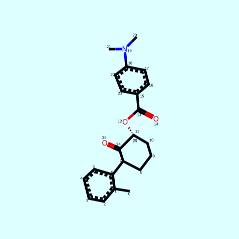 Cc1ccccc1C1CCC[C@@H](OC(=O)c2ccc(N(C)C)cc2)C1=O